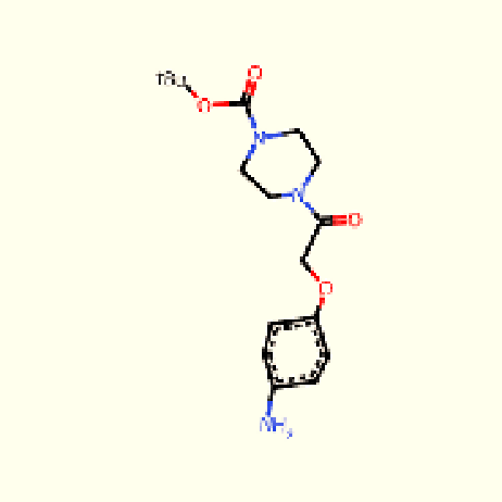 CC(C)(C)OC(=O)N1CCN(C(=O)COc2ccc(N)cc2)CC1